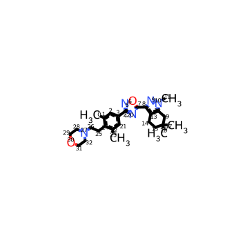 Cc1cc(-c2noc(-c3nn(C)c4c3CCC(C)(C)C4)n2)cc(C)c1CCN1CCOCC1